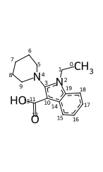 CCn1c(N2CCCCC2)c(C(=O)O)c2ccccc21